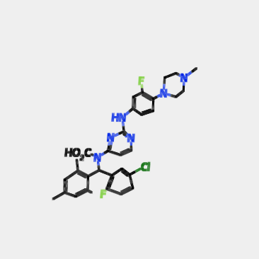 Cc1cc(C)c(C(c2cc(Cl)ccc2F)N(C(=O)O)c2ccnc(Nc3ccc(N4CCN(C)CC4)c(F)c3)n2)c(C)c1